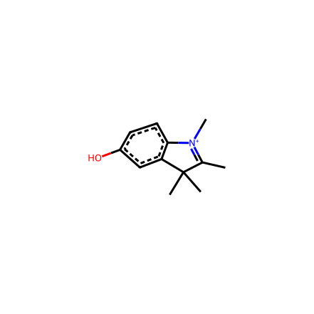 CC1=[N+](C)c2ccc(O)cc2C1(C)C